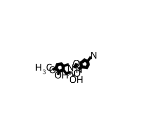 COc1ccc2c(c1O)C[C@@H](C(=O)O)N(c1nc3ccc(C#N)cc3o1)C2